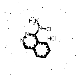 Cl.NN(Cl)c1nncc2ccccc12